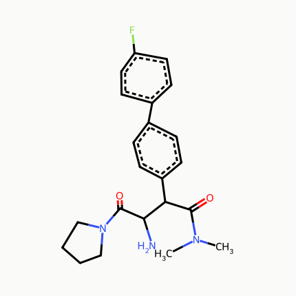 CN(C)C(=O)C(c1ccc(-c2ccc(F)cc2)cc1)C(N)C(=O)N1CCCC1